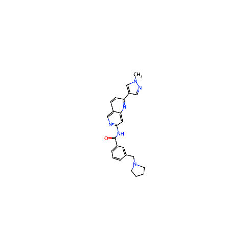 Cn1cc(-c2ccc3cnc(NC(=O)c4cccc(CN5CCCC5)c4)cc3n2)cn1